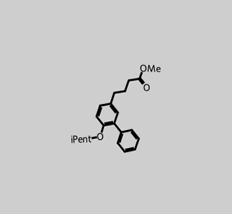 CCCC(C)Oc1ccc(CCCC(=O)OC)cc1-c1ccccc1